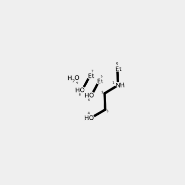 CCNCCO.CCO.CCO.O